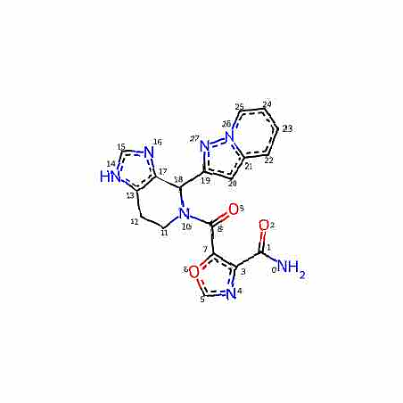 NC(=O)c1ncoc1C(=O)N1CCc2[nH]cnc2C1c1cc2ccccn2n1